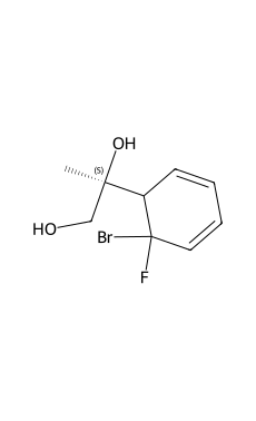 C[C@@](O)(CO)C1C=CC=CC1(F)Br